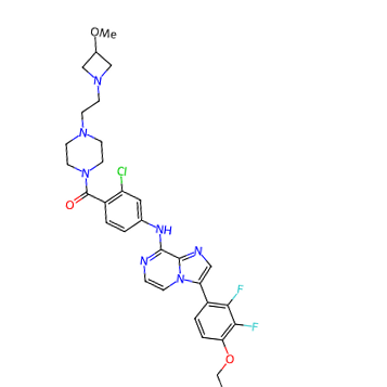 COC1CN(CCN2CCN(C(=O)c3ccc(Nc4nccn5c(-c6ccc(OCC#N)c(F)c6F)cnc45)cc3Cl)CC2)C1